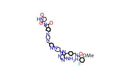 COc1ccc(F)cc1C(=O)NCc1ccc(-c2nn(C3CCN(c4ccc(CN5CCN(c6ccc7c(c6)CN([C@H]6CCC(=O)NC6=O)C7=O)CC5)cn4)CC3)c3ncnc(N)c23)cc1